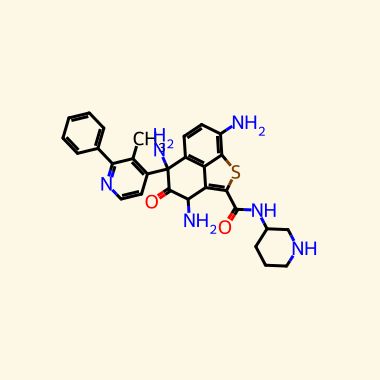 Cc1c(C2(N)C(=O)C(N)c3c(C(=O)NC4CCCNC4)sc4c(N)ccc2c34)ccnc1-c1ccccc1